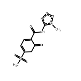 Cn1nnnc1NC(=O)C1=CC=C(S(C)(=O)=O)CC1=O